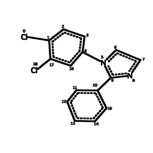 Clc1ccc(-n2ccnc2-c2ccccc2)cc1Cl